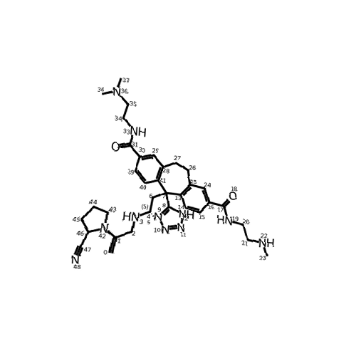 C=C(CN[C@@H](C)CC1(c2nnn[nH]2)c2ccc(C(=O)NCCNC)cc2CCc2cc(C(=O)NCCN(C)C)ccc21)N1CCCC1C#N